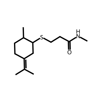 CNC(=O)CCSC1CC(=C(C)C)CCC1C